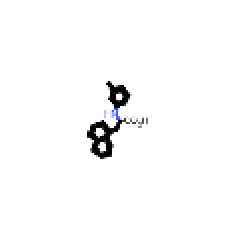 Cc1cccc(N[C@@H](Cc2cccc3ccccc23)C(=O)O)c1